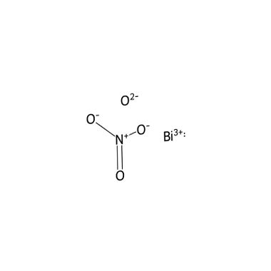 O=[N+]([O-])[O-].[Bi+3].[O-2]